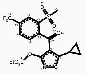 CCOC(=O)Oc1noc(C2CC2)c1C(=O)c1ccc(C(F)(F)F)cc1S(C)(=O)=O